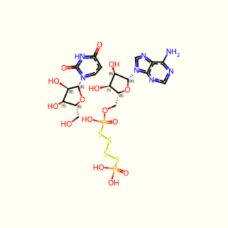 Nc1ncnc2c1ncn2[C@@H]1O[C@H](COP(=O)(O)SSSSP(=O)(O)O)[C@@H](O)[C@H]1O.O=c1ccn([C@@H]2O[C@H](CO)[C@@H](O)[C@H]2O)c(=O)[nH]1